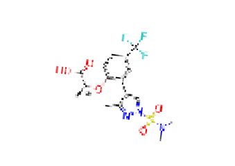 Cc1nn(S(=O)(=O)N(C)C)cc1-c1cc(C(F)(F)F)ccc1O[C@@H](C)C(=O)O